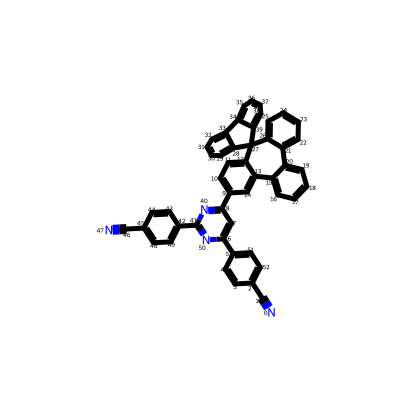 N#Cc1ccc(-c2cc(-c3ccc4c(c3)-c3ccccc3-c3ccccc3C43c4ccccc4-c4ccccc43)nc(-c3ccc(C#N)cc3)n2)cc1